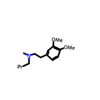 COc1ccc(CCN(C)CC(C)C)cc1OC